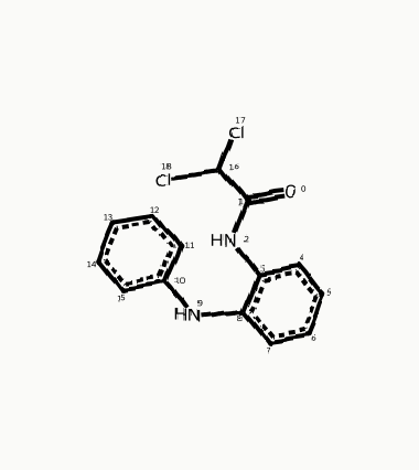 O=C(Nc1ccccc1Nc1ccccc1)C(Cl)Cl